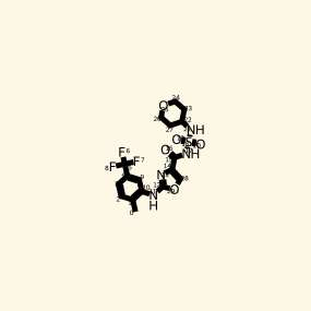 Cc1ccc(C(F)(F)F)cc1Nc1nc(C(=O)NS(=O)(=O)NC2CCOCC2)co1